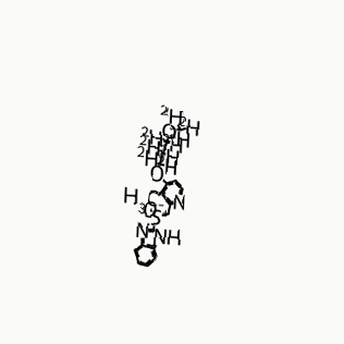 [2H]C([2H])([2H])OC([2H])([2H])C([2H])([2H])C([2H])([2H])Oc1ccnc(C[S+]([O-])c2nc3ccccc3[nH]2)c1C